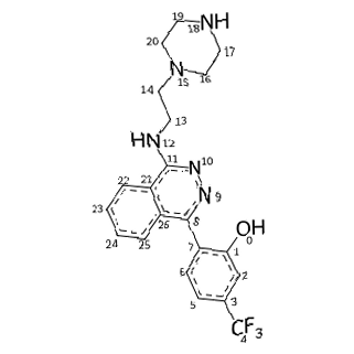 Oc1cc(C(F)(F)F)ccc1-c1nnc(NCCN2CCNCC2)c2ccccc12